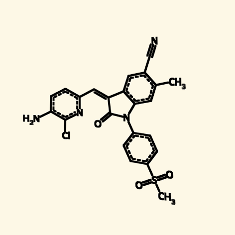 Cc1cc2c(cc1C#N)/C(=C/c1ccc(N)c(Cl)n1)C(=O)N2c1ccc(S(C)(=O)=O)cc1